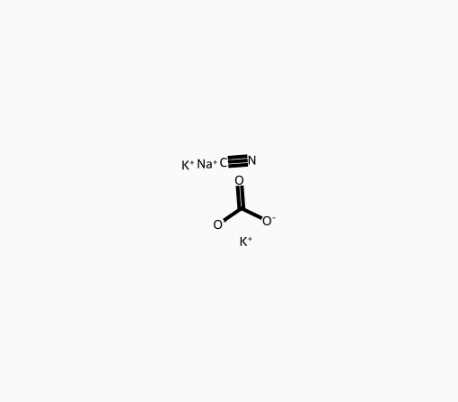 O=C([O-])[O-].[C-]#N.[K+].[K+].[Na+]